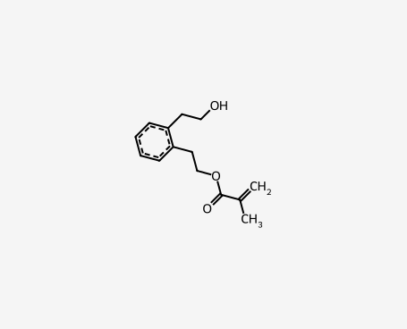 C=C(C)C(=O)OCCc1ccccc1CCO